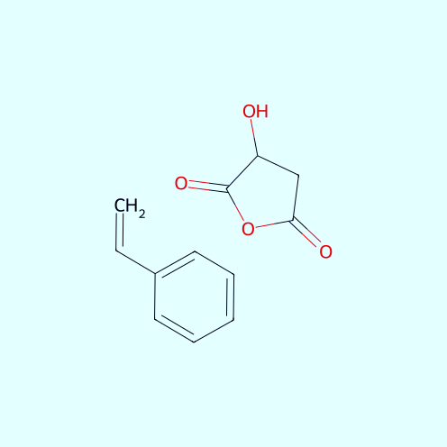 C=Cc1ccccc1.O=C1CC(O)C(=O)O1